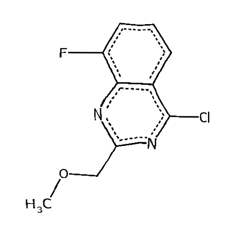 COCc1nc(Cl)c2cccc(F)c2n1